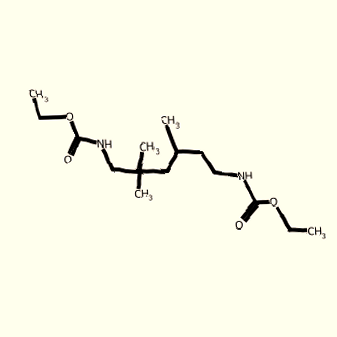 CCOC(=O)NCCC(C)CC(C)(C)CNC(=O)OCC